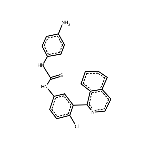 Nc1ccc(NC(=S)Nc2ccc(Cl)c(-c3nccc4ccccc34)c2)cc1